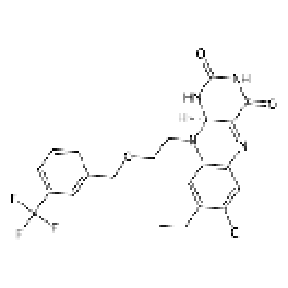 CCc1cc2c(cc1Cl)N=C1C(=O)NC(=O)N[C@@H]1N2CCOCc1cccc(C(F)(F)F)c1